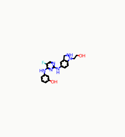 OCCN1NCc2cc(Nc3ncc(F)c(Nc4cccc(O)c4)n3)ccc21